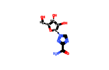 NC(=O)c1ncn([13C@@H]2O[13C@H]([13CH2]O)[13C@H](O)[13CH]2O)n1